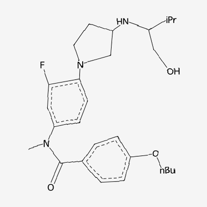 CCCCOc1ccc(C(=O)N(C)c2ccc(N3CCC(NC(CO)C(C)C)C3)c(F)c2)cc1